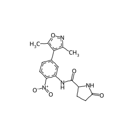 Cc1noc(C)c1-c1ccc([N+](=O)[O-])c(NC(=O)C2CCC(=O)N2)c1